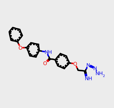 N=C(COc1ccc(C(=O)Nc2ccc(Oc3ccccc3)cc2)cc1)/N=N\N